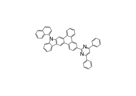 c1ccc(-c2cc(-c3ccccc3)nc(-c3ccc4c(c3)c3ccccc3c3cc5c(cc43)c3ccccc3n5-c3cccc4ccccc34)n2)cc1